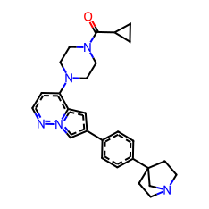 O=C(C1CC1)N1CCN(c2ccnn3cc(-c4ccc(C56CCN(CC5)C6)cc4)cc23)CC1